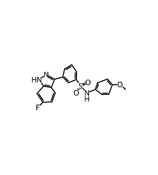 COc1ccc(NS(=O)(=O)c2cccc(-c3n[nH]c4cc(F)ccc34)c2)cc1